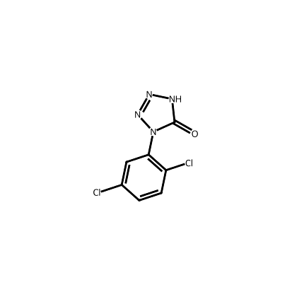 O=c1[nH]nnn1-c1cc(Cl)ccc1Cl